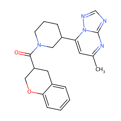 Cc1cc(C2CCCN(C(=O)C3COc4ccccc4C3)C2)n2ncnc2n1